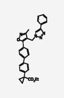 CCOC(=O)C1(c2ccc(-c3ccc(-c4onc(C)c4Cn4cc(-c5ccccc5)nn4)cc3)cc2)CC1